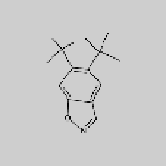 CC(C)(C)c1cc2cnoc2cc1C(C)(C)C